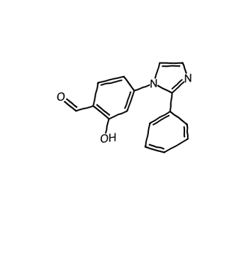 O=Cc1ccc(-n2ccnc2-c2ccccc2)cc1O